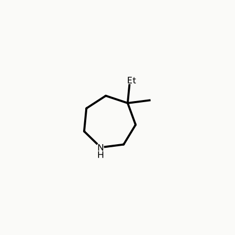 CCC1(C)CCCNCC1